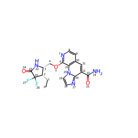 CC[C@H]1[C@@H](COc2nccc3cc(C(N)=O)c4nccn4c23)NC(=O)C1(F)F